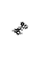 O=C(N[C@H](CN1CCOCC1)c1ccccc1)c1cc2c[nH]nc3c-2c1CNC=C3